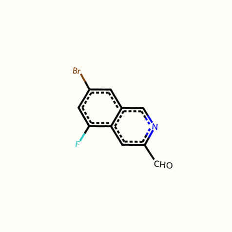 O=Cc1cc2c(F)cc(Br)cc2cn1